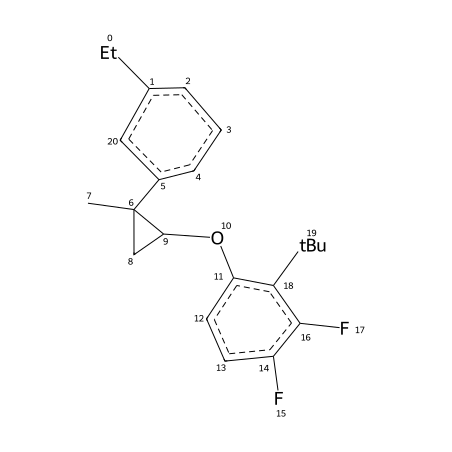 CCc1cccc(C2(C)CC2Oc2ccc(F)c(F)c2C(C)(C)C)c1